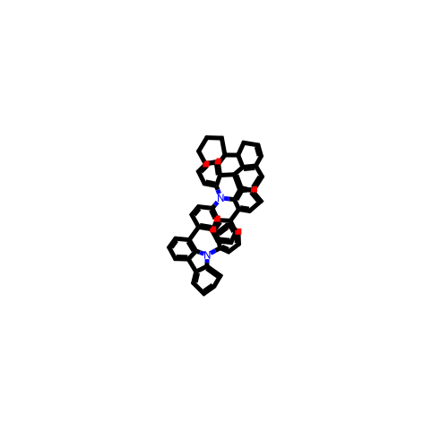 C1=Cc2cccc(-c3ccccc3N(c3ccc(-c4cccc5c6ccccc6n(-c6ccccc6)c45)cc3)c3ccccc3-c3ccccc3)c2C(C2CCCCC2)C1